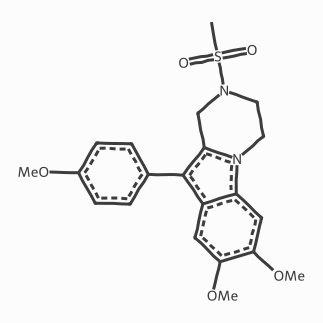 COc1ccc(-c2c3n(c4cc(OC)c(OC)cc24)CCN(S(C)(=O)=O)C3)cc1